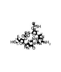 Nc1nc2c(nnn2[C@@H]2O[C@@](CO)(CF)C[C@H]2OP(=O)(S)OC[C@H]2O[C@@H](c3cnn4c(N)ncnc34)C[C@@H]2O[PH](=O)S)c(=O)[nH]1